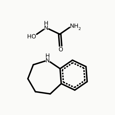 NC(=O)NO.c1ccc2c(c1)CCCCN2